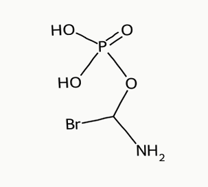 NC(Br)OP(=O)(O)O